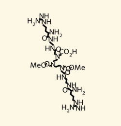 COOCN(CCN(COOC)CC(=O)NCCNC(=O)C(N)CCCNC(=N)N)CCN(CC(=O)O)CC(=O)NCCNC(=O)C(N)CCCNC(=N)N